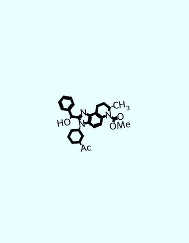 COC(=O)N1c2ccc3c(nc([C@@H](O)c4ccccc4)n3[C@@H]3CCC[C@H](C(C)=O)C3)c2CC[C@@H]1C